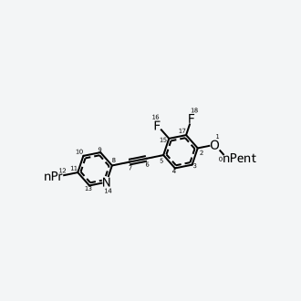 CCCCCOc1ccc(C#Cc2ccc(CCC)cn2)c(F)c1F